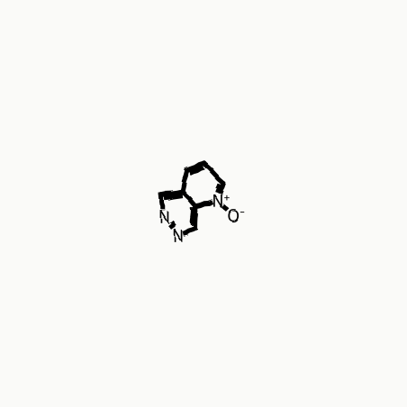 [O-][n+]1cccc2cnncc21